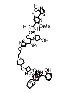 COc1nc(-c2scnc2C)c(F)cc1[C@H](C)NC(=O)[C@@H]1C[C@@H](O)CN1C(=O)[C@@H](c1cc(OCCN2CCC(O[C@H]3C[C@H](Oc4cc(N5C6CCC5CN(c5cc(-c7ccccc7O)nnc5N)C6)ccn4)C3)CC2)no1)C(C)C